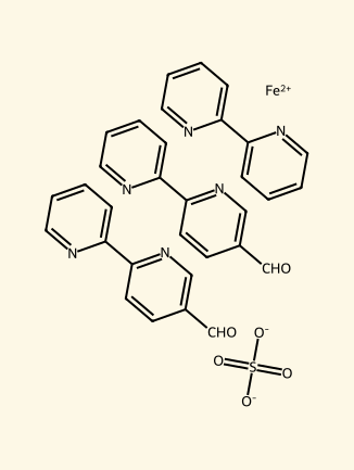 O=Cc1ccc(-c2ccccn2)nc1.O=Cc1ccc(-c2ccccn2)nc1.O=S(=O)([O-])[O-].[Fe+2].c1ccc(-c2ccccn2)nc1